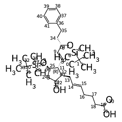 CC(C)(C)[Si](C)(C)O[C@H](C=C[C@@H]1[C@@H](CC=CCCCC(=O)O)[C@@H](O)C[C@H]1O[Si](C)(C)C(C)(C)C)CCc1ccccc1